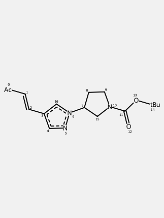 CC(=O)C=Cc1cnn(C2CCN(C(=O)OC(C)(C)C)C2)c1